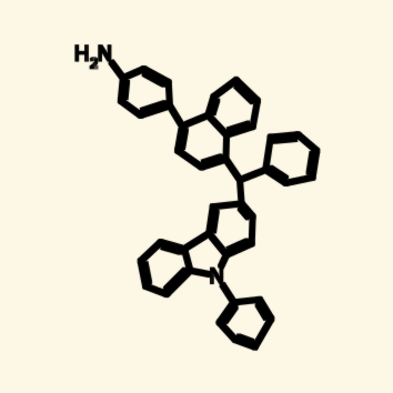 Nc1ccc(-c2ccc(C(c3ccccc3)c3ccc4c(c3)c3ccccc3n4-c3ccccc3)c3ccccc23)cc1